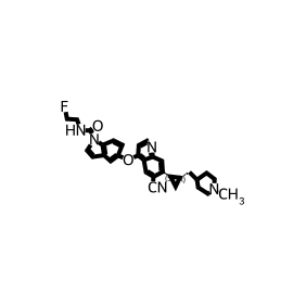 CN1CCC(C[C@@H]2C[C@@H]2c2cc3nccc(Oc4ccc5c(ccn5C(=O)NCCF)c4)c3cc2C#N)CC1